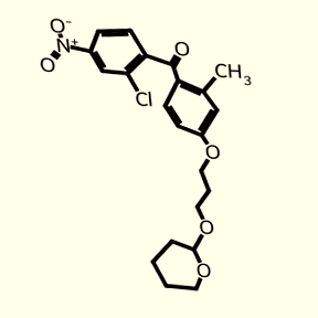 Cc1cc(OCCCOC2CCCCO2)ccc1C(=O)c1ccc([N+](=O)[O-])cc1Cl